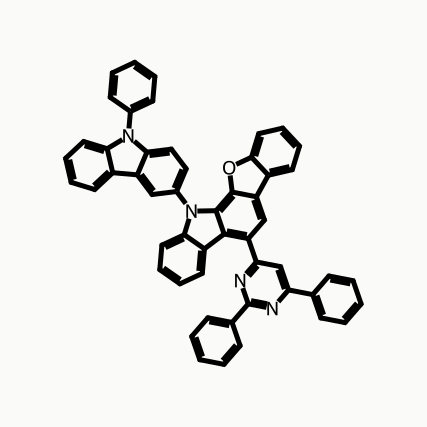 c1ccc(-c2cc(-c3cc4c5ccccc5oc4c4c3c3ccccc3n4-c3ccc4c(c3)c3ccccc3n4-c3ccccc3)nc(-c3ccccc3)n2)cc1